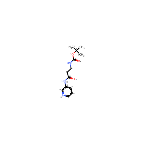 CC(C)(C)OC(=O)NCCC(=O)Nc1cccnc1